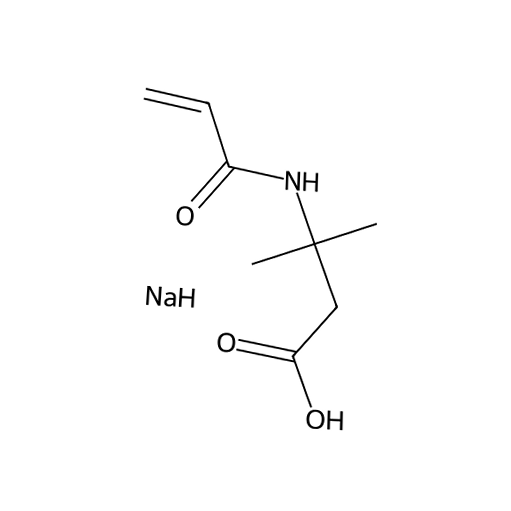 C=CC(=O)NC(C)(C)CC(=O)O.[NaH]